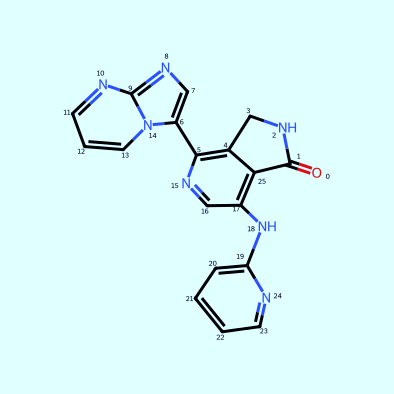 O=C1NCc2c(-c3cnc4ncccn34)ncc(Nc3ccccn3)c21